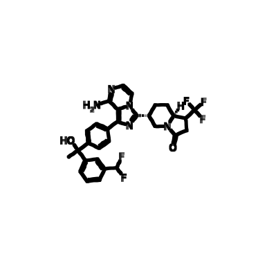 CC(O)(c1ccc(-c2nc([C@@H]3CC[C@H]4C(C(F)(F)F)CC(=O)N4C3)n3ccnc(N)c23)cc1)c1cccc(C(F)F)c1